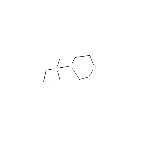 CCCCCC[Si](C)(C)N1CCNCC1